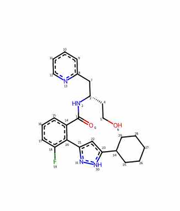 O=C(N[C@@H](CCO)Cc1ccccn1)c1cccc(F)c1-c1cc(C2CCCCC2)[nH]n1